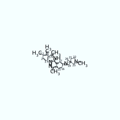 Cc1cccc([C@@H](C)Nc2nnc(C)c3ccc(N4CC5(CCN(C)C5)C4)cc23)c1C